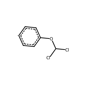 ClC(Cl)Oc1cc[c]cc1